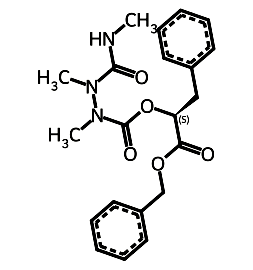 CNC(=O)N(C)N(C)C(=O)O[C@@H](Cc1ccccc1)C(=O)OCc1ccccc1